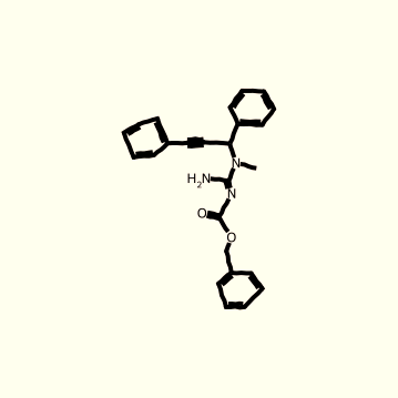 CN(/C(N)=N/C(=O)OCc1ccccc1)C(C#Cc1ccccc1)c1ccccc1